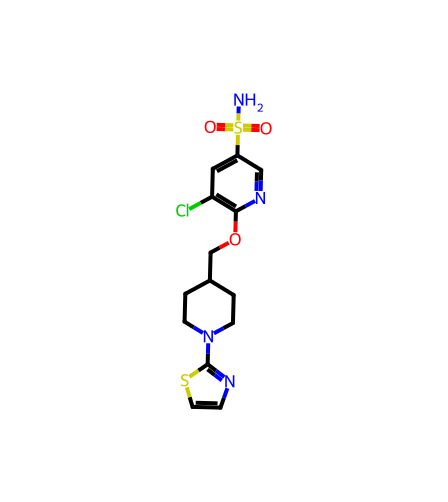 NS(=O)(=O)c1cnc(OCC2CCN(c3nccs3)CC2)c(Cl)c1